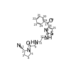 N#C[C@@H]1CCCN1C(=O)CNCCNc1nc(C(=O)c2ccccc2)cs1